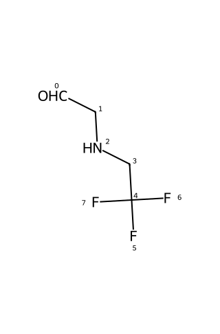 O=CCNCC(F)(F)F